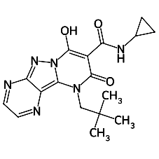 CC(C)(C)Cn1c(=O)c(C(=O)NC2CC2)c(O)n2nc3nccnc3c12